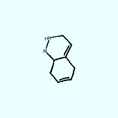 C1=CCC2[N]NCC=C2C1